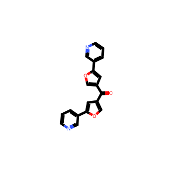 O=C(c1coc(-c2cccnc2)c1)c1coc(-c2cccnc2)c1